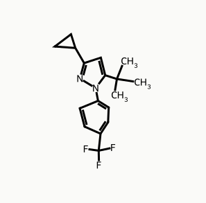 CC(C)(C)c1cc(C2CC2)nn1-c1ccc(C(F)(F)F)cc1